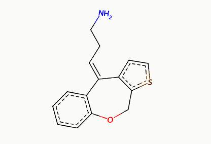 NCCC=C1c2ccccc2OCc2sccc21